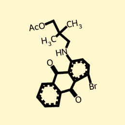 CC(=O)OCC(C)(C)CNc1ccc(Br)c2c1C(=O)c1ccccc1C2=O